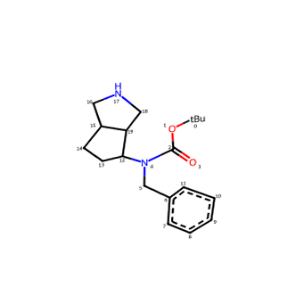 CC(C)(C)OC(=O)N(Cc1ccccc1)C1CCC2CNCC21